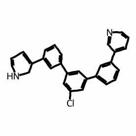 Clc1cc(-c2cccc(C3=CC=CNC3)c2)cc(-c2cccc(-c3cccnc3)c2)c1